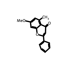 COc1cc(C)c2c(=O)cc(-c3ccccc3)oc2c1